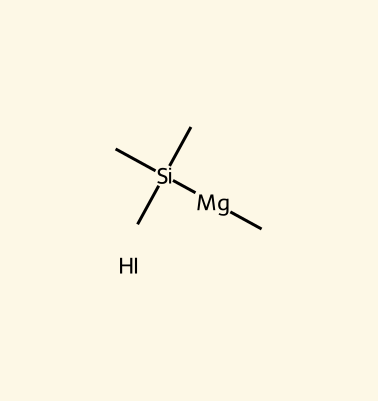 I.[CH3][Mg][Si](C)(C)C